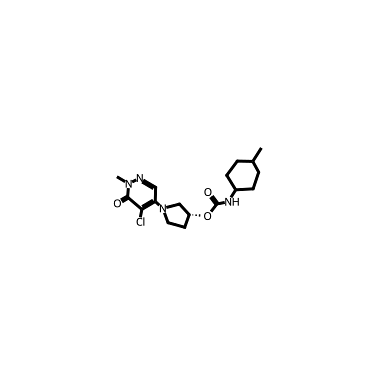 CC1CCC(NC(=O)O[C@@H]2CCN(c3cnn(C)c(=O)c3Cl)C2)CC1